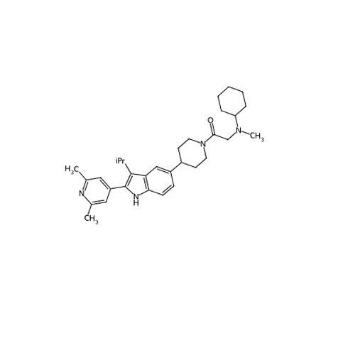 Cc1cc(-c2[nH]c3ccc(C4CCN(C(=O)CN(C)C5CCCCC5)CC4)cc3c2C(C)C)cc(C)n1